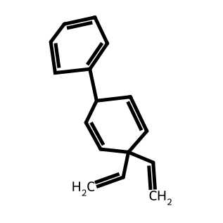 C=CC1(C=C)C=CC(c2ccccc2)C=C1